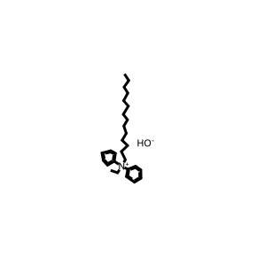 CCCCCCCCCCCCCC[N+](CC)(c1ccccc1)c1ccccc1.[OH-]